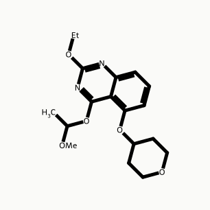 CCOc1nc(OC(C)OC)c2c(OC3CCOCC3)cccc2n1